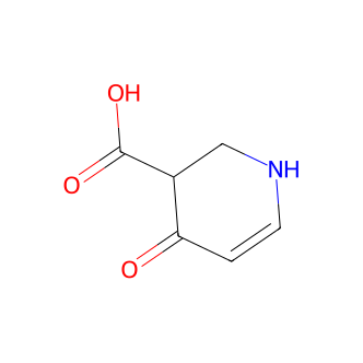 O=C(O)C1CNC=CC1=O